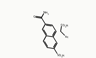 CC(=O)CC(=O)O.NC(=O)c1ccc2cc(S(=O)(=O)O)ccc2c1